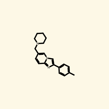 Cc1ccc(-c2cn3cc(CN4CCCCC4)ccc3n2)cc1